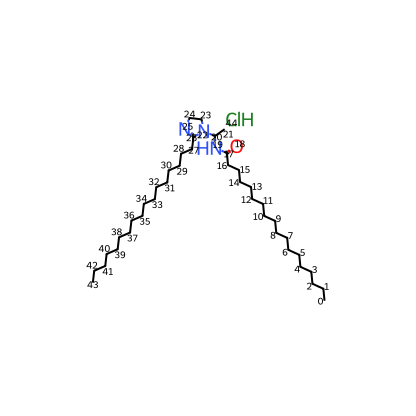 CCCCCCCCCCCCCCCCCC(=O)NC(C)N1CCN=C1CCCCCCCCCCCCCCCCC.Cl